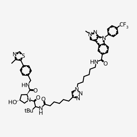 Cc1ncsc1-c1ccc(CNC(=O)[C@@H]2C[C@@H](O)CN2C(=O)C(NC(=O)CCCCCc2cn(CCCCCCNC(=O)c3ccc4c(c3)c3cn(C)nc3n4-c3ccc(C(F)(F)F)cc3)nn2)C(C)(C)C)cc1